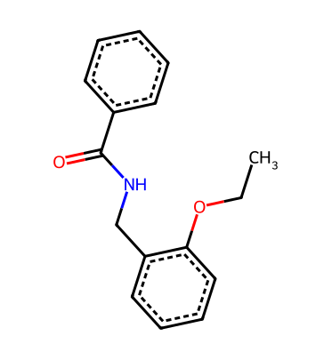 CCOc1ccccc1CNC(=O)c1ccccc1